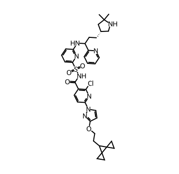 CC1(C)C[C@@H](CCC(Nc2cccc(S(=O)(=O)NC(=O)c3ccc(-n4ccc(OCCC5C6(CC6)C56CC6)n4)nc3Cl)n2)c2ccccn2)CN1